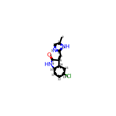 Cc1cnc(/C=C2\C(=O)Nc3ccc(Cl)cc32)[nH]1